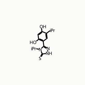 CC(C)c1cc(-c2n[nH]c(=S)n2C(C)C)c(O)cc1O